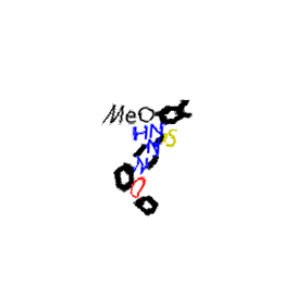 COc1cc(C)c(C)cc1NC(=S)N1CCN(c2ccccc2Oc2ccccc2)CC1